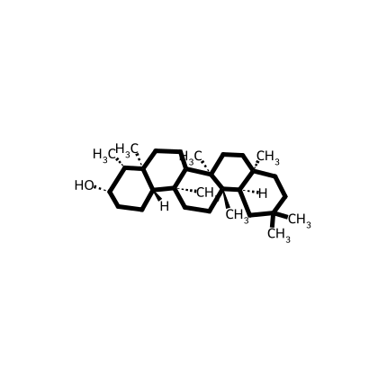 C[C@H]1[C@@H](O)CC[C@@H]2[C@]1(C)CCC1[C@@]2(C)CC[C@@]2(C)[C@@H]3CC(C)(C)CC[C@]3(C)CC[C@]12C